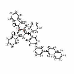 c1cc(-c2ccc(N(c3ccc4oc5ccccc5c4c3)c3ccccc3-c3ccc4oc5ccccc5c4c3)cc2)cc(-c2ccc3ccccc3c2)c1